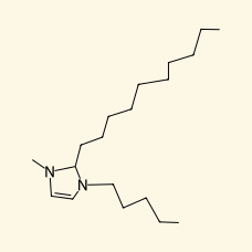 CCCCCCCCCCC1N(C)C=CN1CCCCC